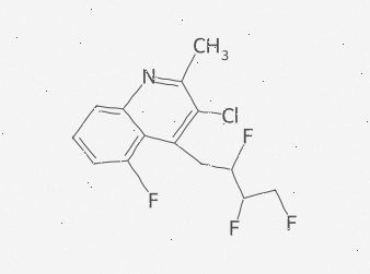 Cc1nc2cccc(F)c2c(CC(F)C(F)CF)c1Cl